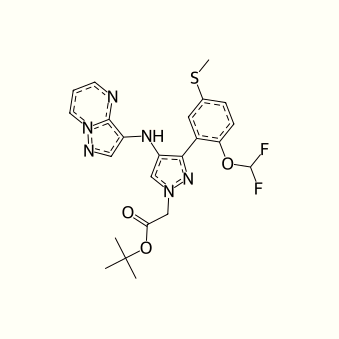 CSc1ccc(OC(F)F)c(-c2nn(CC(=O)OC(C)(C)C)cc2Nc2cnn3cccnc23)c1